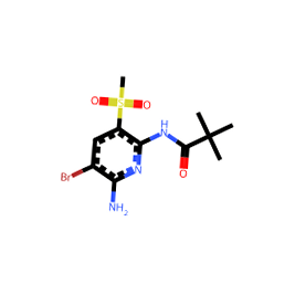 CC(C)(C)C(=O)Nc1nc(N)c(Br)cc1S(C)(=O)=O